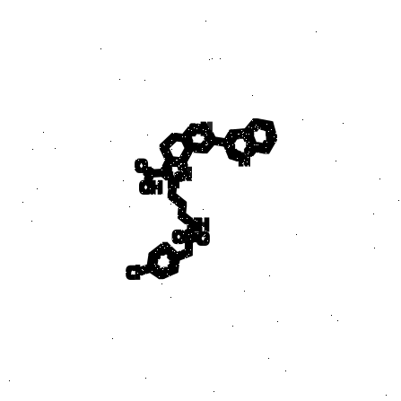 O=C(O)c1c2c(nn1CCCNS(=O)(=O)Cc1ccc(Cl)cc1)-c1cc(-c3cnc4ccccc4c3)ncc1CC2